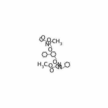 CCOC(=O)c1cn(Cc2ccccc2)nc1OCc1ccc(OCc2nc(-c3ccco3)oc2C)c(-c2ccccc2)c1